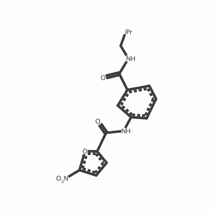 CC(C)CNC(=O)c1cccc(NC(=O)c2ccc([N+](=O)[O-])o2)c1